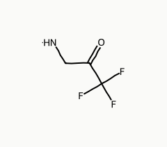 [NH]CC(=O)C(F)(F)F